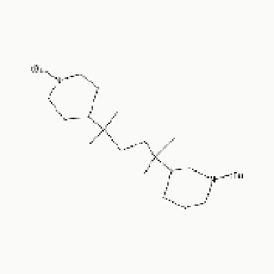 CC(C)(CCC(C)(C)C1CCCN(C(C)(C)C)C1)C1CCN(C(C)(C)C)CC1